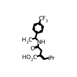 CC(C)/C=C(\CC(=O)NC(C)c1ccc(C(F)(F)F)cc1)C(=O)O